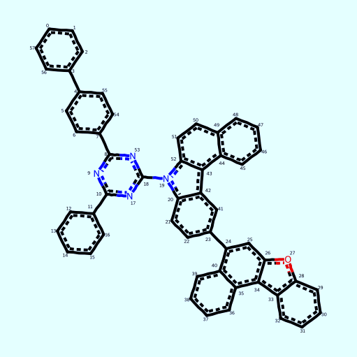 c1ccc(-c2ccc(-c3nc(-c4ccccc4)nc(-n4c5ccc(-c6cc7oc8ccccc8c7c7ccccc67)cc5c5c6ccccc6ccc54)n3)cc2)cc1